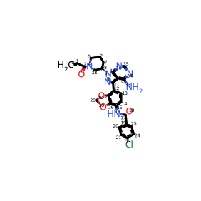 C=CC(=O)N1CCC[C@@H](n2nc(-c3ccc(NC(=O)c4ccc(Cl)cc4)c4c3OCO4)c3c(N)ncnc32)C1